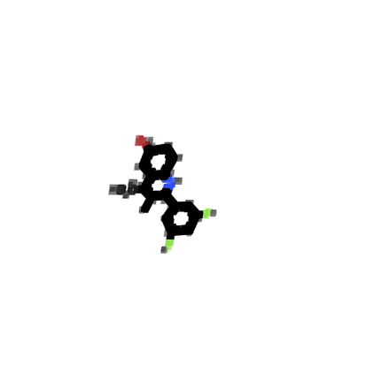 Cc1c(-c2cc(F)cc(F)c2)nc2ccc(Br)cc2c1C(=O)O